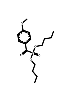 CCCCOP(=O)(OCCCC)C(=O)c1ccc(OC)cc1